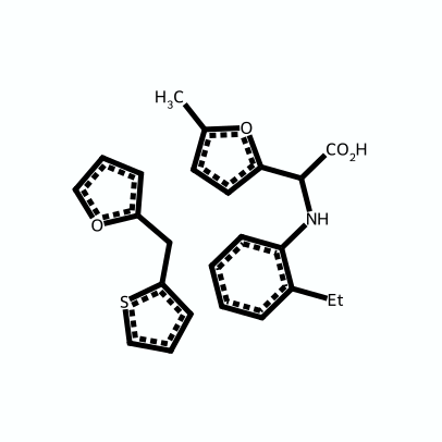 CCc1ccccc1NC(C(=O)O)c1ccc(C)o1.c1coc(Cc2cccs2)c1